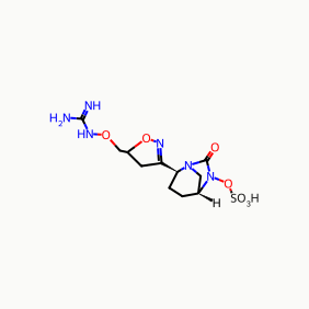 N=C(N)NOCC1CC([C@@H]2CC[C@@H]3CN2C(=O)N3OS(=O)(=O)O)=NO1